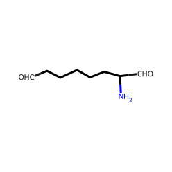 NC(C=O)CCCCCC=O